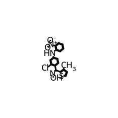 Cc1ccsc1C(=NO)c1ccc(Nc2ccccc2[N+](=O)[O-])cc1Cl